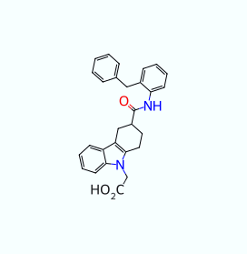 O=C(O)Cn1c2c(c3ccccc31)CC(C(=O)Nc1ccccc1Cc1ccccc1)CC2